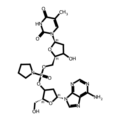 Cc1cn([C@H]2CC(O)[C@@H](COP(=O)(OC3C[C@H](n4cnc5c(N)ncnc54)O[C@@H]3CO)N3CCCC3)O2)c(=O)[nH]c1=O